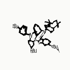 CC(C)(C)c1ccc(N2c3ccc(C(C)(C)C)cc3B3c4sc5cc(C(C)(C)C)ccc5c4N(c4ccc5c(c4)C(C)(C)CCC5(C)C)c4cccc2c43)cc1